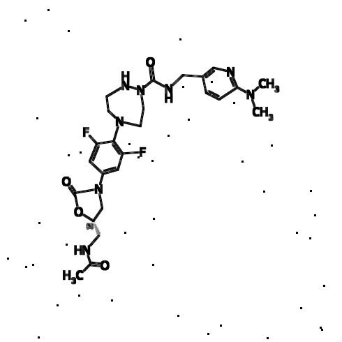 CC(=O)NC[C@H]1CN(c2cc(F)c(N3CCNN(C(=O)NCc4ccc(N(C)C)nc4)CC3)c(F)c2)C(=O)O1